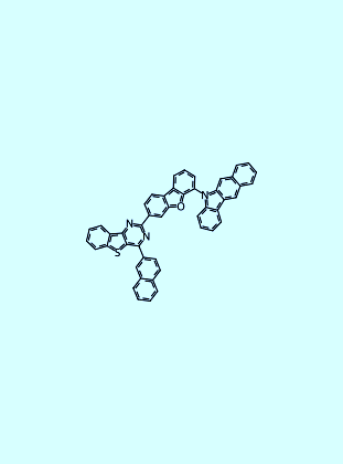 c1ccc2cc(-c3nc(-c4ccc5c(c4)oc4c(-n6c7ccccc7c7cc8ccccc8cc76)cccc45)nc4c3sc3ccccc34)ccc2c1